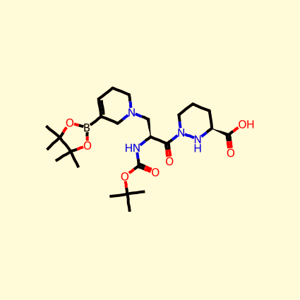 CC(C)(C)OC(=O)N[C@@H](CN1CCC=C(B2OC(C)(C)C(C)(C)O2)C1)C(=O)N1CCC[C@@H](C(=O)O)N1